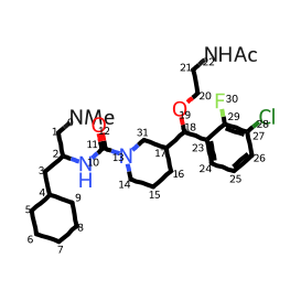 CNCC(CC1CCCCC1)NC(=O)N1CCCC(C(OCCNC(C)=O)c2cccc(Cl)c2F)C1